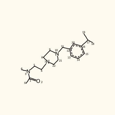 CC(=O)N(C)CCN1CCN(Cc2cccc(C(C)C)c2)CC1